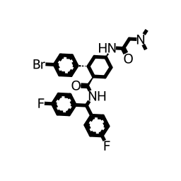 CN(C)CC(=O)N[C@@H]1CC[C@@H](C(=O)NC(c2ccc(F)cc2)c2ccc(F)cc2)[C@H](c2ccc(Br)cc2)C1